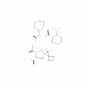 COC(=O)[C@@H]1C[C@@]2(CN1C(=O)[C@@H](NC(=O)[C@@H](NC(=O)[C@@H]1CCCCC1N(C)C)C1CCCCC1)C(C)(C)C)C(C)(C)C21CCC1